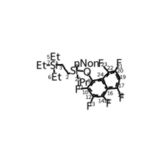 CCCCCCCCC[Si](CC[Si](CC)(CC)CC)(Oc1c(F)c(F)c(F)c2c(F)[c]c(F)c(F)c12)C(C)C